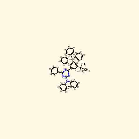 CC(C)(C)c1cc(-c2nc(-c3ccccc3)nc(-n3c4ccccc4c4ccccc43)n2)cc([Si](c2ccccc2)(c2ccccc2)c2ccccc2)c1